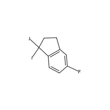 Fc1ccc2c(c1)CCC2(I)I